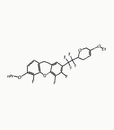 CCCOc1ccc2c(c1F)Oc1c(cc(C(F)(F)C(F)(F)C3CC=C(OCC)CO3)c(F)c1F)C2